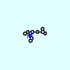 c1ccc2c(c1)cc(-c1ccc(-c3ccc4c5ccc6ccccc6c5c5nc6c7ccccc7ccc6n5c4c3)cc1)c1ccccc12